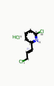 Cl.ClC/C=C/c1cccc(Cl)n1